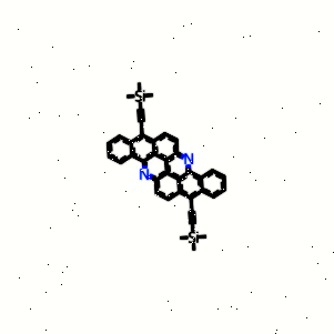 C[Si](C)(C)C#Cc1c2ccccc2c2nc3ccc4c(C#C[Si](C)(C)C)c5ccccc5c5nc6ccc1c2c6c3c45